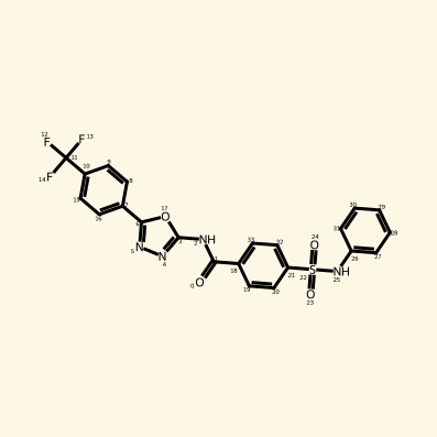 O=C(Nc1nnc(-c2ccc(C(F)(F)F)cc2)o1)c1ccc(S(=O)(=O)Nc2ccccc2)cc1